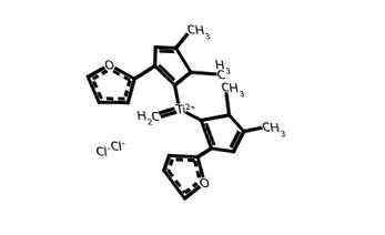 [CH2]=[Ti+2]([C]1=C(c2ccco2)C=C(C)C1C)[C]1=C(c2ccco2)C=C(C)C1C.[Cl-].[Cl-]